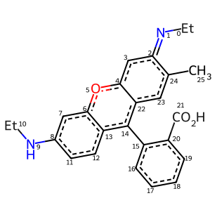 CC/N=c1/cc2oc3cc(NCC)ccc3c(-c3ccccc3C(=O)O)c-2cc1C